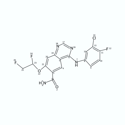 NC(=O)c1cc2c(Nc3ccc(F)c(Cl)c3)ncnc2cc1OC(F)CF